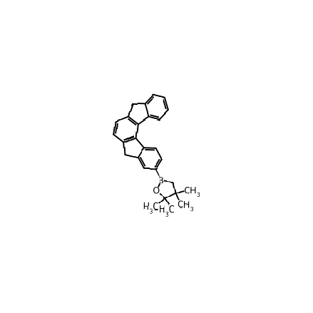 CC1(C)CB(c2ccc3c(c2)Cc2ccc4c(c2-3)-c2ccccc2C4)OC1(C)C